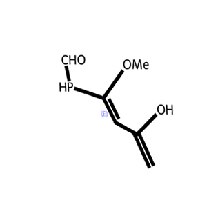 C=C(O)/C=C(\OC)PC=O